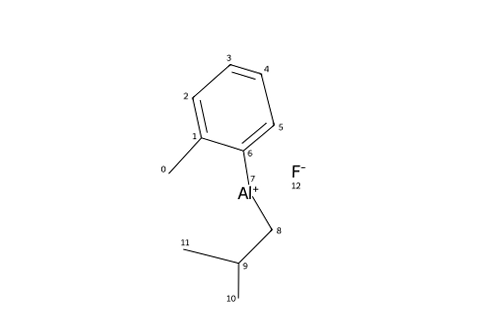 Cc1cccc[c]1[Al+][CH2]C(C)C.[F-]